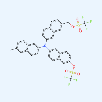 Cc1ccc2cc(N(c3ccc4cc(OS(=O)(=O)C(F)(F)F)ccc4c3)c3ccc4ccc(COS(=O)(=O)C(F)(F)F)cc4c3)ccc2c1